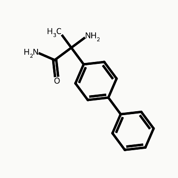 CC(N)(C(N)=O)c1ccc(-c2ccccc2)cc1